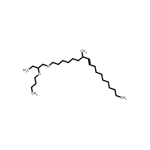 CCCCCCCCC/C=C/C(C)CCCCCCOCC(CC)OCCCC